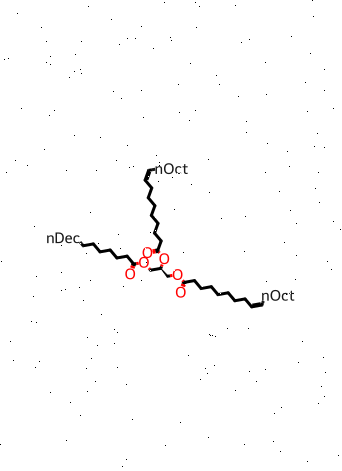 CCCCCCCC/C=C\CCCCCCCC(=O)OC[C@@H](COC(=O)CCCCCCCCCCCCCCCC)OC(=O)CCCCCCC/C=C\CCCCCCCC